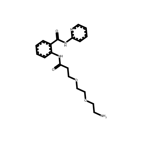 NCCOCCOCCC(=O)Nc1ccccc1C(=O)Nc1ccccn1